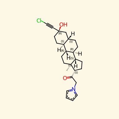 C[C@]12CC[C@H]3[C@@H](CC[C@H]4C[C@@](O)(C#CCl)CC[C@@H]43)[C@@H]1CC[C@@H]2C(=O)Cn1cccc1